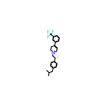 CC(C)Cc1ccc([C@@H](C)CN2CC=C(c3cccc(C(F)(F)F)c3)CC2)cc1